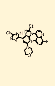 CCc1nc2c(-c3nnc(Cl)[nH]3)cc(N3CCOCC3)cc2n1-c1ccnc2c(F)ccc(F)c12